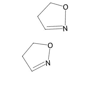 C1=NOCC1.C1=NOCC1